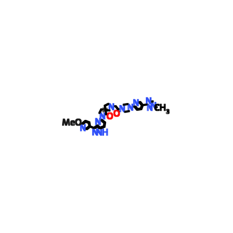 COc1ccc(-c2n[nH]c3ccc(N4CC[C@]5(CCN(CC(=O)N6CCN(c7ccc(-c8ncn(C)n8)cn7)CC6)C5)C4=O)nc23)cn1